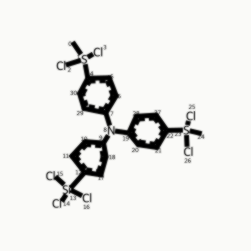 CS(Cl)(Cl)c1ccc(N(c2ccc([Si](Cl)(Cl)Cl)cc2)c2ccc(S(C)(Cl)Cl)cc2)cc1